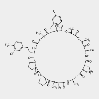 CC[C@H](C)[C@@H]1NC(=O)[C@H](CC(C)C)N(C)C(=O)C[C@@H](C)NC(=O)[C@H](C(C)C)N(C)C(=O)C2(CCCC2)NC(=O)[C@@H]2CCCN2C(=O)[C@H](CCc2ccc(C(F)(F)F)c(Cl)c2)NC(=O)CN(C)C(=O)[C@H](Cc2cccc(F)c2)N(C)C(=O)CN(C)C(=O)CN(C)C1=O